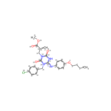 CCCCOc1ccc(/N=c2\[nH]c(=O)n(C[C@H](C)C(=O)OC)c(=O)n2Cc2ccc(Cl)cc2)cc1